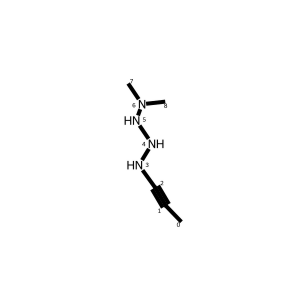 CC#CNNNN(C)C